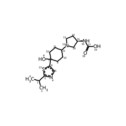 CC(C)c1ncc(C2(O)CCC(N3CC[C@@H](NC(=O)O)C3)CC2)s1